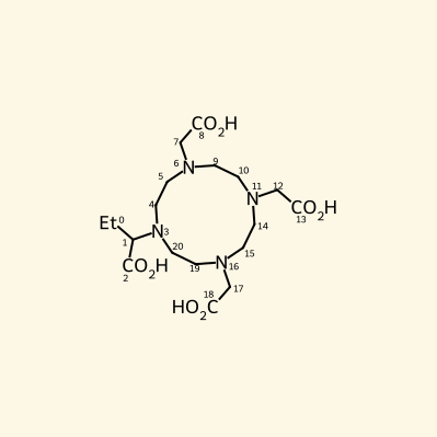 CCC(C(=O)O)N1CCN(CC(=O)O)CCN(CC(=O)O)CCN(CC(=O)O)CC1